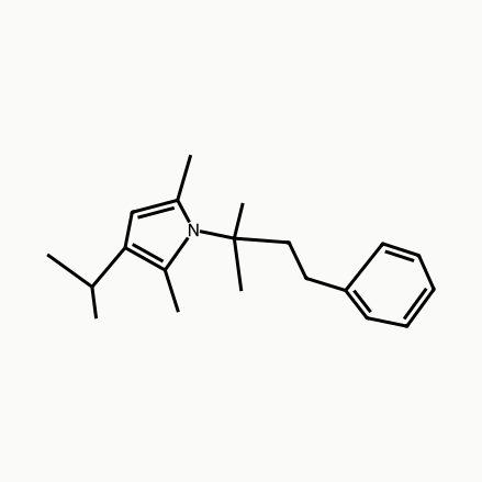 Cc1cc(C(C)C)c(C)n1C(C)(C)CCc1ccccc1